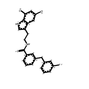 O=C(NCCc1c[nH]c2c(Cl)cc(Cl)cc12)c1cccc(Cc2cccc(F)c2)c1